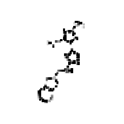 Cc1nc(C)c(-c2csc(NCC3Cc4ccccc4C3)n2)s1